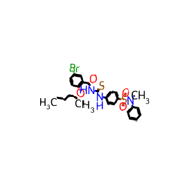 CCCCC(C)Oc1ccc(Br)cc1C(=O)NC(=S)Nc1ccc(S(=O)(=O)N(C)c2ccccc2)cc1